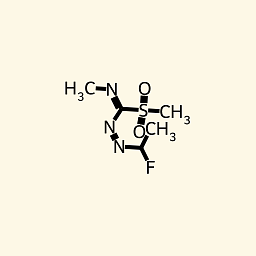 C/N=C(\N=N/C(C)F)S(C)(=O)=O